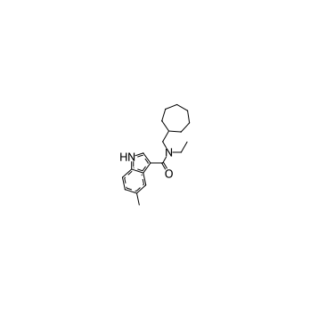 CCN(CC1CCCCCC1)C(=O)c1c[nH]c2ccc(C)cc12